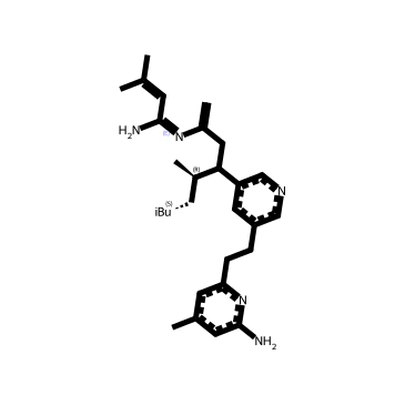 C=C(CC(c1cncc(CCc2cc(C)cc(N)n2)c1)[C@H](C)C[C@@H](C)CC)/N=C(/N)C=C(C)C